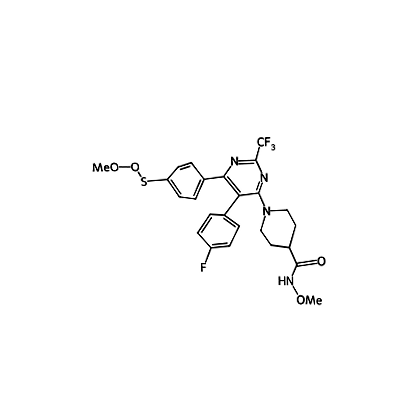 CONC(=O)C1CCN(c2nc(C(F)(F)F)nc(-c3ccc(SOOC)cc3)c2-c2ccc(F)cc2)CC1